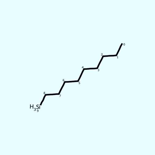 CCCCCCCCC[SiH3]